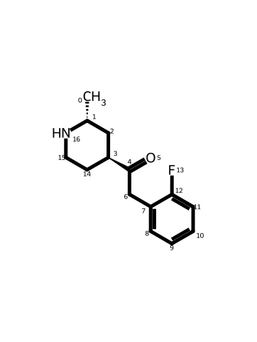 C[C@@H]1C[C@@H](C(=O)Cc2ccccc2F)CCN1